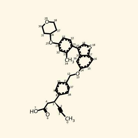 CC#C[C@@H](CC(=O)O)c1ccc(COc2ccc3scc(-c4ccc(OC5CCOCC5)cc4C)c3c2)cc1